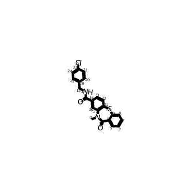 CN1C(=O)c2ccccc2Sc2ccc(C(=O)NCc3ccc(Cl)cc3)cc21